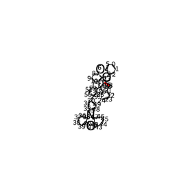 c1ccc2c(c1)Oc1ccc3c(c1O2)C1(c2ccccc2-c2ccccc21)c1cc(-c2ccc(N4c5ccccc5Oc5ccccc54)cc2)ccc1-3